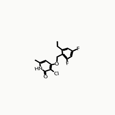 CCc1cc(F)cc(F)c1COc1cc(C)[nH]c(=O)c1Cl